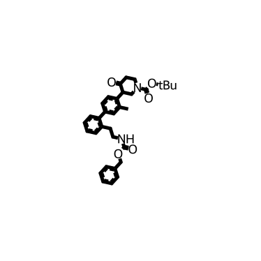 Cc1cc(-c2ccccc2CCNC(=O)OCc2ccccc2)ccc1C1CN(C(=O)OC(C)(C)C)CCC1=O